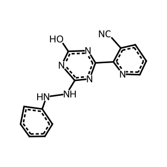 N#Cc1cccnc1-c1nc(O)nc(NNc2ccccc2)n1